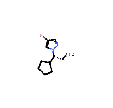 O=CC[C@H](C1CCCC1)n1cc(Br)cn1